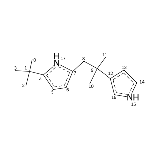 CC(C)(C)c1ccc(CC(C)(C)c2cc[nH]c2)[nH]1